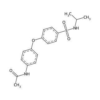 CC(=O)Nc1ccc(Oc2ccc(S(=O)(=O)NC(C)C)cc2)cc1